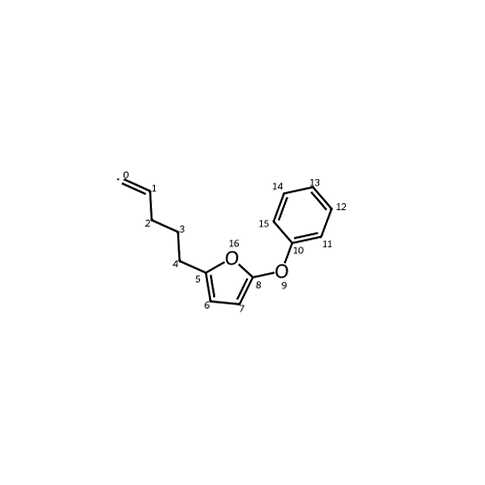 [CH]=CCCCc1ccc(Oc2ccccc2)o1